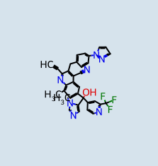 C#Cc1nc2c(C)cc(C(O)(c3ccnc(C(F)(F)F)c3)c3cncn3C)cc2c(C#N)c1Cc1ccc(-n2cccn2)cc1